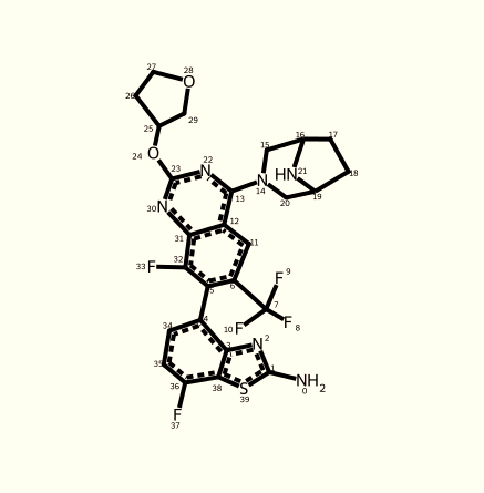 Nc1nc2c(-c3c(C(F)(F)F)cc4c(N5CC6CCC(C5)N6)nc(OC5CCOC5)nc4c3F)ccc(F)c2s1